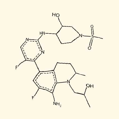 CC(O)CN1c2c(N)c(F)cc(-c3nc(NC4CCN(S(C)(=O)=O)CC4O)ncc3F)c2CCC1C